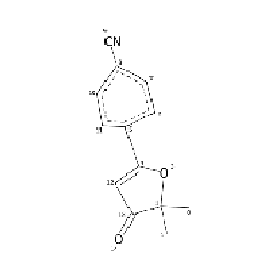 CC1(C)OC(c2ccc(C#N)cc2)=CC1=O